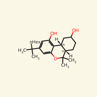 CCCCCCC(C)(C)c1cc(O)c2c(c1)OC(C)(C)[C@H]1CCC(O)C[C@@H]21